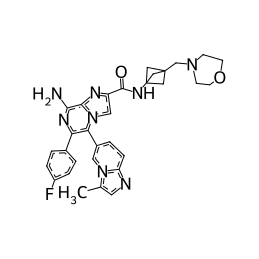 Cc1cnc2ccc(-c3c(-c4ccc(F)cc4)nc(N)c4nc(C(=O)NC56CC(CN7CCOCC7)(C5)C6)cn34)cn12